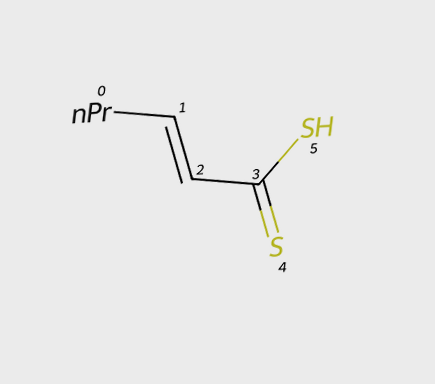 CCCC=CC(=S)S